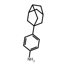 Nc1ccc(C23CC4CC(C2)C(C4)C3)cc1